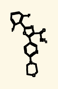 NC(=O)c1nc(-c2c(F)cccc2F)oc1-c1ccc(N2CCOCC2)nc1